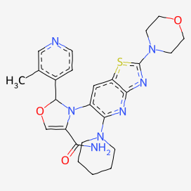 Cc1cnccc1C1OC=C(C(N)=O)N1c1cc2sc(N3CCOCC3)nc2nc1N1CCCCC1